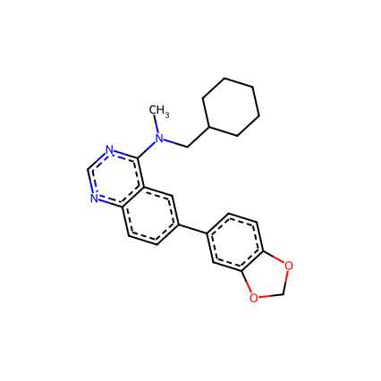 CN(CC1CCCCC1)c1ncnc2ccc(-c3ccc4c(c3)OCO4)cc12